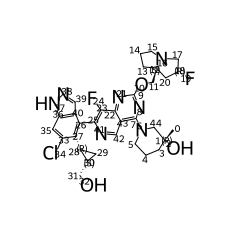 C[C@@]1(O)CCCN(c2nc(OC[C@@]34CCCN3C[C@H](F)C4)nc3c(F)c(-c4c([C@@H]5C[C@@H]5CO)c(Cl)cc5[nH]ncc45)ncc23)C1